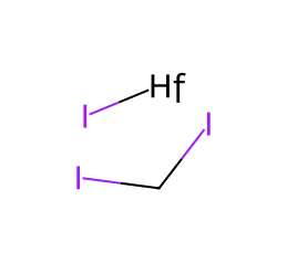 ICI.[I][Hf]